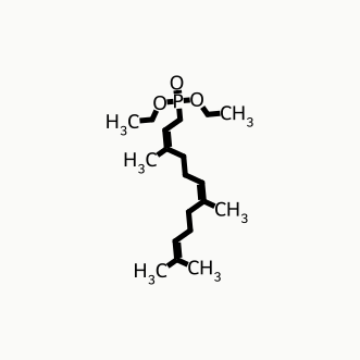 CCOP(=O)(CC=C(C)CCC=C(C)CCC=C(C)C)OCC